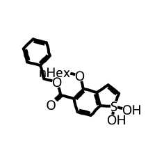 CCCCCCOc1c(C(=O)OCc2ccccc2)ccc2c1C=CS2(O)O